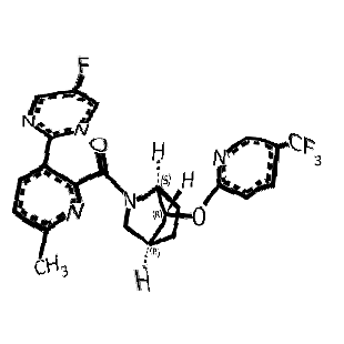 Cc1ccc(-c2ncc(F)cn2)c(C(=O)N2C[C@@H]3CC[C@H]2[C@H](Oc2ccc(C(F)(F)F)cn2)C3)n1